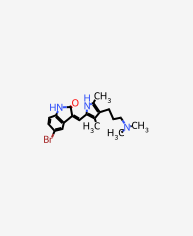 Cc1[nH]c(C=C2C(=O)Nc3ccc(Br)cc32)c(C)c1CCCN(C)C